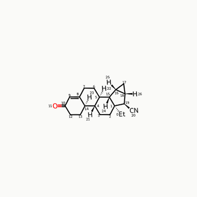 CC[C@]12CC[C@H]3[C@@H](CCC4=CC(=O)CC[C@@H]43)[C@@H]1[C@@H]1C[C@@H]1[C@H]2C#N